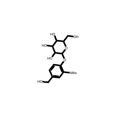 CNc1cc(CO)ccc1OC1OC(CO)C(O)C(O)C1O